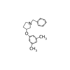 Cc1cc(C)cc(OC2CCN(Cc3ccccc3)C2)c1